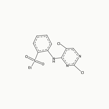 CCS(=O)(=O)c1ccccc1Nc1nc(Cl)ncc1Cl